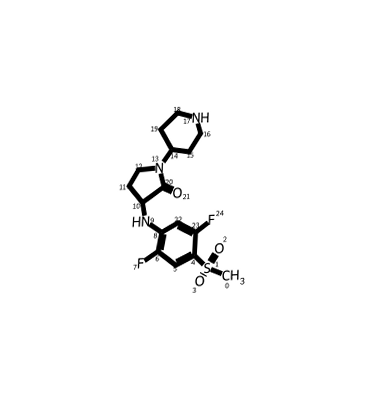 CS(=O)(=O)c1cc(F)c(NC2CCN(C3CCNCC3)C2=O)cc1F